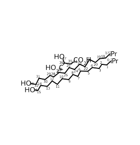 CC(C)CCCCCCCCCCCCCCCO.CC(C)CCCCCCCCCCCCCCCO.O=C(O)CC(O)C(=O)O